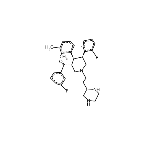 Cc1cccc([C@@H]2[C@@H](C(=O)c3cccc(F)c3)CN(CCC3CNCCN3)C[C@@H]2c2[c]cccc2F)c1C